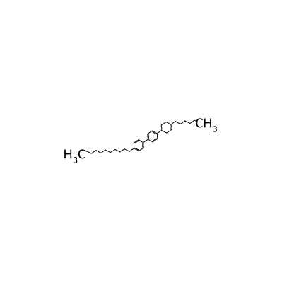 CCCCCCCCCCCc1ccc(-c2ccc(C3CCC(CCCCCC)CC3)cc2)cc1